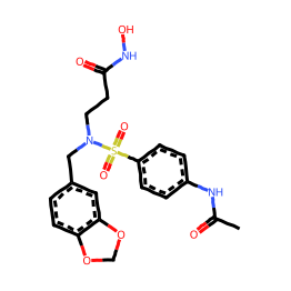 CC(=O)Nc1ccc(S(=O)(=O)N(CCC(=O)NO)Cc2ccc3c(c2)OCO3)cc1